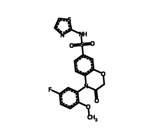 COc1ccc(F)cc1N1C(=O)COc2cc(S(=O)(=O)Nc3nccs3)ccc21